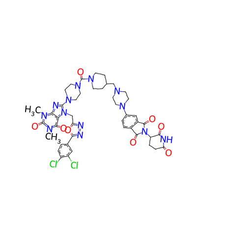 Cn1c(=O)c2c(nc(N3CCN(C(=O)N4CCC(CN5CCN(c6ccc7c(c6)C(=O)N(C6CCC(=O)NC6=O)C7=O)CC5)CC4)CC3)n2Cc2nnc(-c3ccc(Cl)c(Cl)c3)o2)n(C)c1=O